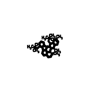 Cc1ccc2c(C)c3c(c(CC(C)(C)C)c2c1)n1c2cccc(CC(C)(C)C)c2c2ccc4cc[n+](C)c3c4c21